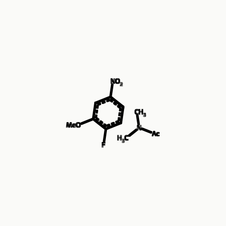 CC(=O)N(C)C.COc1cc([N+](=O)[O-])ccc1F